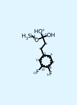 OC(O)(CCc1ccc(F)c(F)c1)O[SiH3]